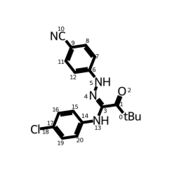 CC(C)(C)C(=O)/C(=N\Nc1ccc(C#N)cc1)Nc1ccc(Cl)cc1